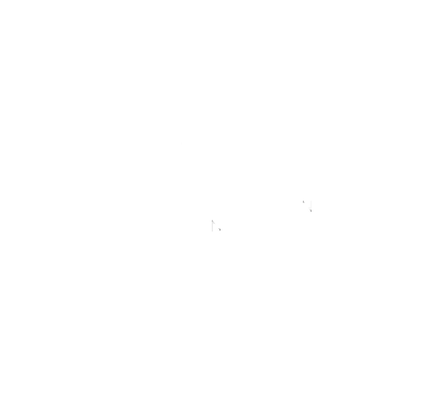 CCC1C2c3ccccc3Cc3ccccc3N2CN1C